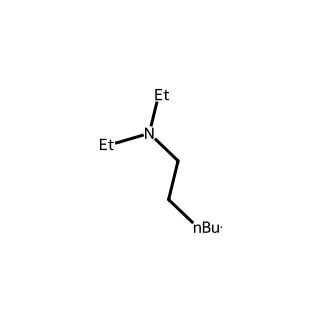 CCC[CH]CCN(CC)CC